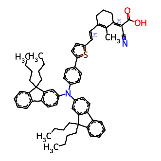 CCCCC1(CCCC)c2ccccc2-c2ccc(N(c3ccc(-c4ccc(/C=C/C5=C(C)C(=C(\C#N)C(=O)O)/CCC5)s4)cc3)c3ccc4c(c3)C(CCCC)(CCCC)c3ccccc3-4)cc21